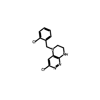 Clc1cc2c(nn1)NCCN2Cc1ccccc1Cl